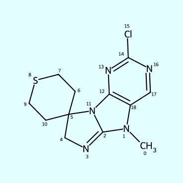 CN1C2=NCC3(CCSCC3)N2c2nc(Cl)ncc21